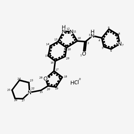 Cl.O=C(Nc1ccncc1)c1n[nH]c2ccc(-c3ccc(CN4CCCCC4)o3)cc12